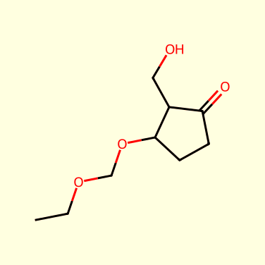 CCOCOC1CCC(=O)C1CO